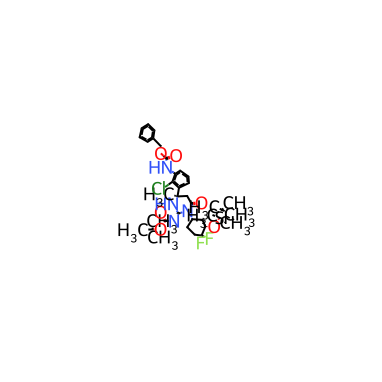 CC(C)(C)OC(=O)/N=C1\N[C@](C)(c2cccc(NC(=O)OCc3ccccc3)c2Cl)CC(=O)N1[C@H]1CCC(F)(F)[C@@H](O[Si](C)(C)C(C)(C)C)C1